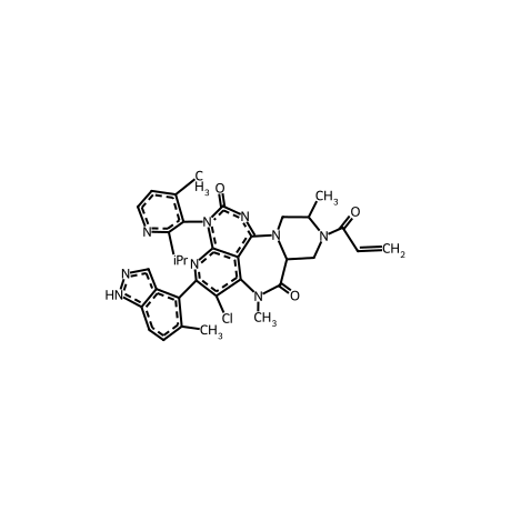 C=CC(=O)N1CC2C(=O)N(C)c3c(Cl)c(-c4c(C)ccc5[nH]ncc45)nc4c3c(nc(=O)n4-c3c(C)ccnc3C(C)C)N2CC1C